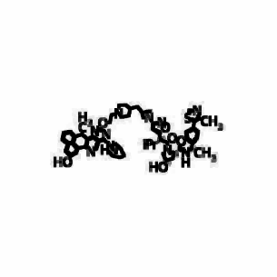 Cc1ncsc1-c1ccc([C@H](C)NC(=O)[C@@H]2C[C@@H](O)CN2C(=O)[C@@H](c2cc(N3CC(CC4CCN(CCOc5nc(N6CC7CCC(C6)N7)c6cnc7c(c6n5)C(C)c5cccc6cc(O)cc-7c56)CC4)C3)no2)C(C)C)cc1